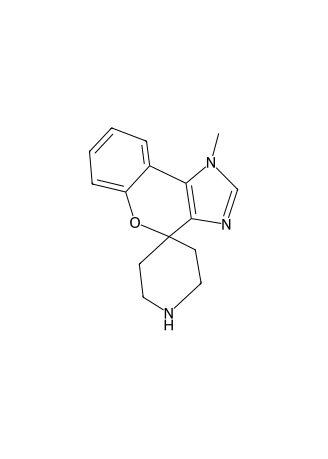 Cn1cnc2c1-c1ccccc1OC21CCNCC1